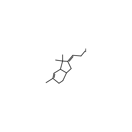 CC1=CC2C(CC1)C/C(=C\CI)C2(C)C